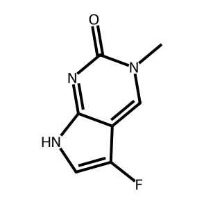 Cn1cc2c(F)c[nH]c2nc1=O